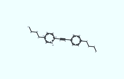 CCCCc1ccc(C#Cc2ccc(CCCC)cn2)cc1